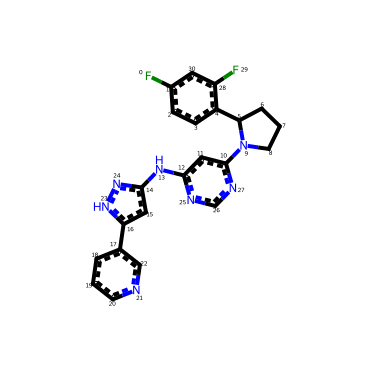 Fc1ccc(C2CCCN2c2cc(Nc3cc(-c4cccnc4)[nH]n3)ncn2)c(F)c1